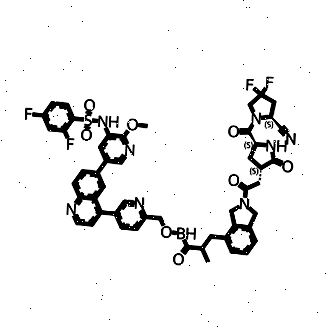 COc1ncc(-c2ccc3nccc(-c4ccc(COBC(=O)C(C)Cc5cccc6c5CN(C(=O)C[C@@H]5C[C@@H](C(=O)N7CC(F)(F)C[C@H]7C#N)NC5=O)C6)nc4)c3c2)cc1NS(=O)(=O)c1ccc(F)cc1F